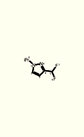 CC(C)n1ccc(C(F)F)n1